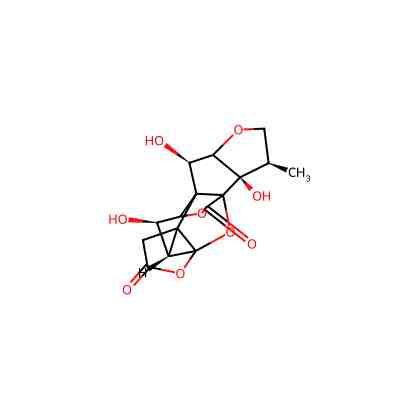 C[C@@H]1COC2[C@H](O)C34C5OC(=O)C3(OC36OC(=O)CC34[C@H]6[C@H]5O)[C@]21O